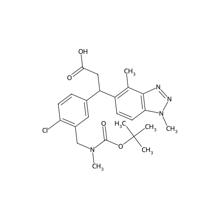 Cc1c(C(CC(=O)O)c2ccc(Cl)c(CN(C)C(=O)OC(C)(C)C)c2)ccc2c1nnn2C